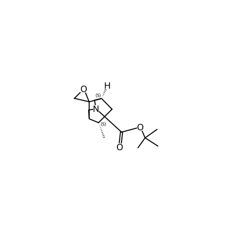 C[C@H]1C[C@H]2CN(C(=O)OC(C)(C)C)CC1C21CO1